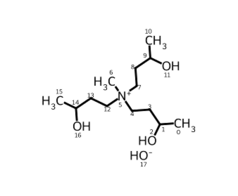 CC(O)CC[N+](C)(CCC(C)O)CCC(C)O.[OH-]